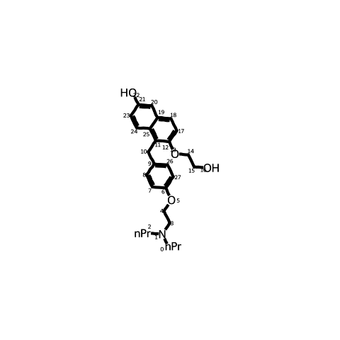 CCCN(CCC)CCOc1ccc(Cc2c(OCCO)ccc3cc(O)ccc23)cc1